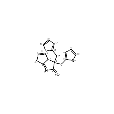 O=C1N=C2SC=CN2C1(Cc1cccs1)Cc1cccs1